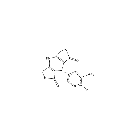 O=C1CCC2=C1[C@H](c1ccc(F)c(C(F)(F)F)c1)C1=C(COC1=O)N2